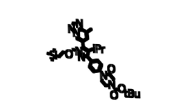 Cc1cc(-c2c(C(C)C)c(-c3ccc(N4CCN(C(=O)OC(C)(C)C)CC4=O)cc3)nn2COCC[Si](C)(C)C)cn2ncnc12